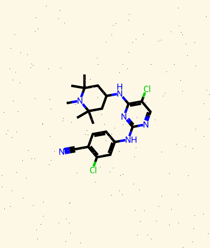 CN1C(C)(C)CC(Nc2nc(Nc3ccc(C#N)c(Cl)c3)ncc2Cl)CC1(C)C